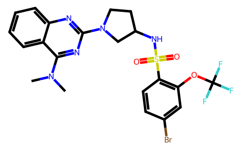 CN(C)c1nc(N2CCC(NS(=O)(=O)c3ccc(Br)cc3OC(F)(F)F)C2)nc2ccccc12